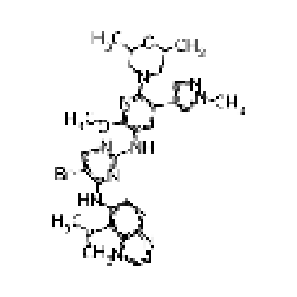 COc1nc(N2CC(C)OC(C)C2)c(-c2cnn(C)c2)cc1Nc1ncc(Br)c(Nc2ccc3nccnc3c2P(C)C)n1